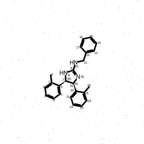 Cc1ccccc1[C@H]1NC(NCc2ccccc2)=N[C@H]1c1ccccc1C